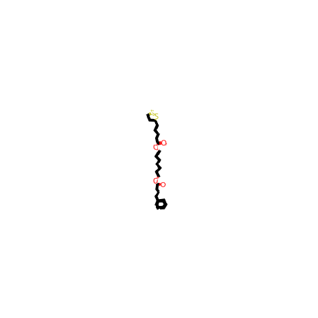 O=C(CCCCC1CCSS1)OCCCCCCCOC(=O)CCCc1ccccc1